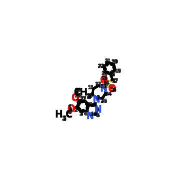 COc1cc2ncnc(N3CCCN(S(=O)(=O)Cc4ccccc4)CC3)c2cc1OC